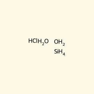 Cl.O.O.[SiH4]